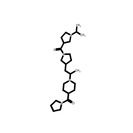 CC(C)N1CCC(C(=O)N2CCC(CC(C)N3CCC(C(=O)N4CCCC4)CC3)C2)C1